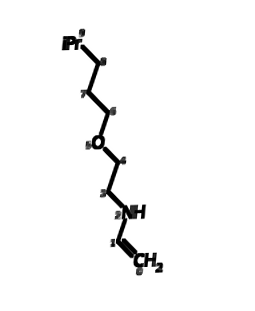 C=CNCCOCCCC(C)C